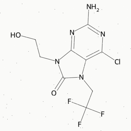 Nc1nc(Cl)c2c(n1)n(CCO)c(=O)n2CC(F)(F)F